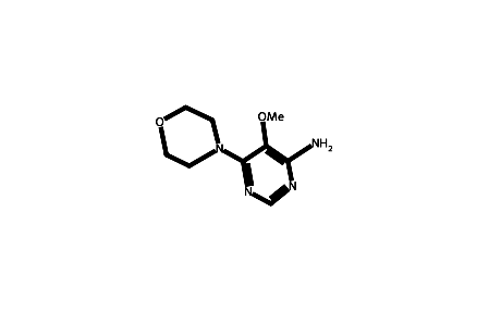 COc1c(N)ncnc1N1CCOCC1